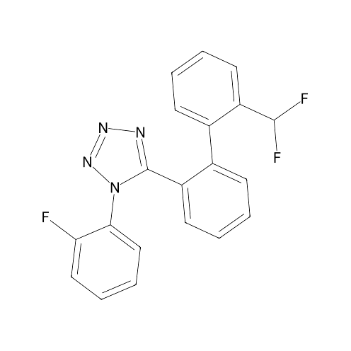 Fc1ccccc1-n1nnnc1-c1ccccc1-c1ccccc1C(F)F